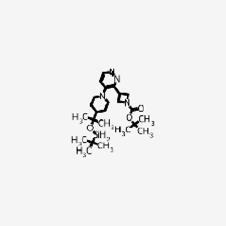 CC(C)(C)OC(=O)N1CC(c2nnccc2N2CCC(C(C)(C)O[SiH2]C(C)(C)C)CC2)C1